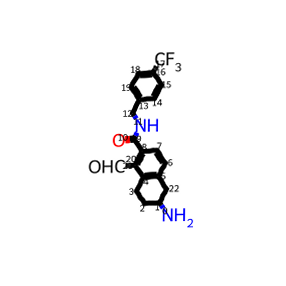 NC1CCc2c(ccc(C(=O)NCc3ccc(C(F)(F)F)cc3)c2C=O)C1